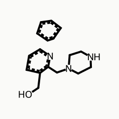 OCc1cccnc1CN1CCNCC1.c1ccccc1